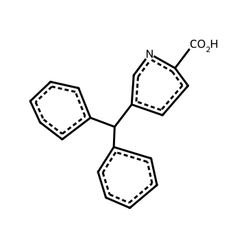 O=C(O)c1ccc(C(c2ccccc2)c2ccccc2)cn1